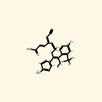 C#C/C=C(/C=C/C(=O)O)\C=C(\F)C/C(=C(/CC)c1ccc(F)cc1C(F)(F)F)c1ccc(O)cc1